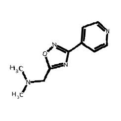 CN(C)Cc1nc(-c2ccncc2)no1